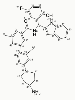 Cc1cc(C(=O)NC(c2cc3ccccc3[nH]2)c2cc(F)ccc2O)cc(-c2ccc(N3CCC(N)CC3)cc2C)c1